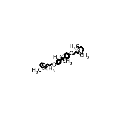 CC1CCC[Si](C)(CCCOc2ccc(C(C)(C)c3ccc(OCCC[Si]4(C)CCCC(C)O4)cc3)cc2)O1